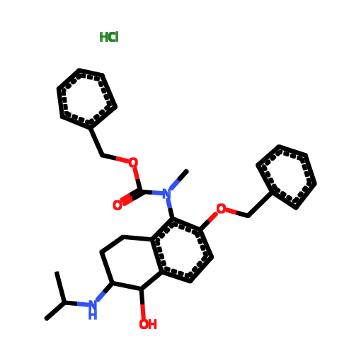 CC(C)NC1CCc2c(ccc(OCc3ccccc3)c2N(C)C(=O)OCc2ccccc2)C1O.Cl